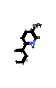 C=C(/C=C\C)c1ccc(CCC)cn1